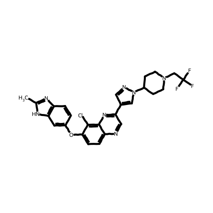 Cc1nc2ccc(Oc3ccc4ncc(-c5cnn(C6CCN(CC(F)(F)F)CC6)c5)nc4c3Cl)cc2[nH]1